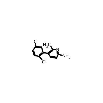 Cc1nc(N)ccc1-c1cc(Cl)ccc1Cl